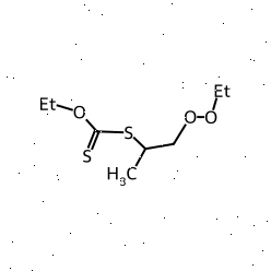 CCOOCC(C)SC(=S)OCC